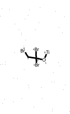 [Ti][O]C(Br)(Br)CBr